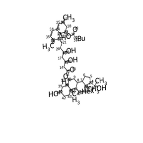 CCCCCCC(C)(O)[C@H]1CCC2C3C[C@H](OC(=O)C[C@H](O)C[C@H](O)CC[C@@H]4[C@@H]5C(=C[C@H](C)C[C@@H]5OC(=O)[C@@H](C)CC)C=C[C@@H]4C)[C@H]4C[C@@H](O)CC[C@]4(C)C3CC[C@@]21C